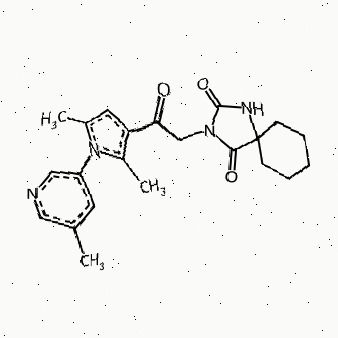 Cc1cncc(-n2c(C)cc(C(=O)CN3C(=O)NC4(CCCCC4)C3=O)c2C)c1